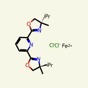 CC(C)[C@@]1(C)COC(c2cccc(C3=N[C@@](C)(C(C)C)CO3)n2)=N1.[Cl-].[Cl-].[Fe+2]